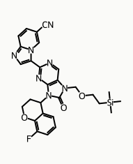 C[Si](C)(C)CCOCn1c(=O)n(C2CCOc3c(F)cccc32)c2nc(-c3cnc4ccc(C#N)cn34)ncc21